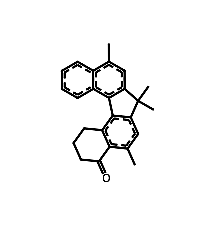 Cc1cc2c(c3c1C(=O)CCC3)-c1c(cc(C)c3ccccc13)C2(C)C